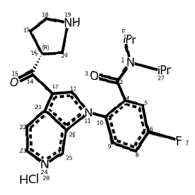 CC(C)N(C(=O)c1cc(F)ccc1-n1cc(C(=O)[C@@H]2CCNC2)c2ccncc21)C(C)C.Cl